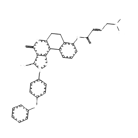 CN(C)C/C=C/C(=O)Nc1cccc2c1CCc1[nH]c(=O)c3c(N)n(-c4ccc(Oc5ccccc5)cc4)nc3c1-2